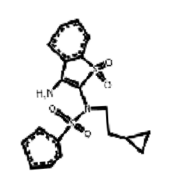 NC1=C(N(CCC2CC2)S(=O)(=O)c2ccccc2)S(=O)(=O)c2ccccc21